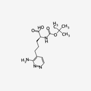 CC(C)(C)OC(=O)N[C@@H](CCCc1ccnnc1N)C(=O)O